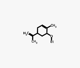 C=C(C)C1CC=C(C)C(OCC)C1